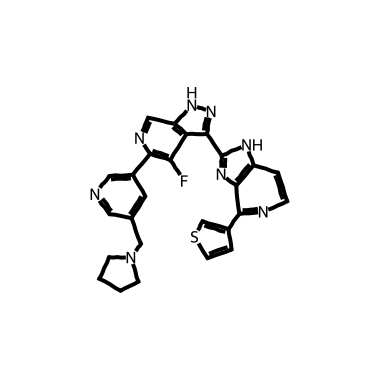 Fc1c(-c2cncc(CN3CCCC3)c2)ncc2[nH]nc(-c3nc4c(-c5ccsc5)nccc4[nH]3)c12